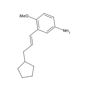 COc1ccc(N)cc1C=CCC1CCCC1